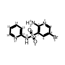 Nc1ncc(Br)cc1S(=O)(=O)Nc1ccccn1